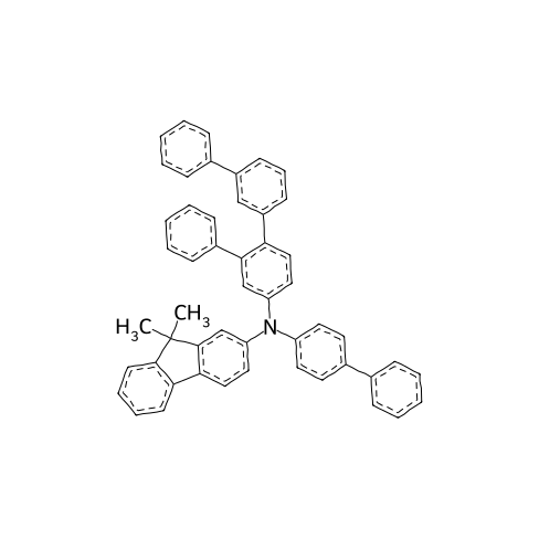 CC1(C)c2ccccc2-c2ccc(N(c3ccc(-c4ccccc4)cc3)c3ccc(-c4cccc(-c5ccccc5)c4)c(-c4ccccc4)c3)cc21